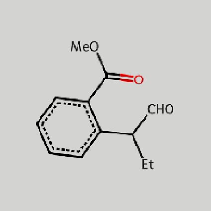 CCC(C=O)c1ccccc1C(=O)OC